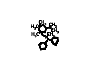 CN(C)C1CC(C)(C)CC(C)(CN(C)P(c2ccccc2)c2ccccc2)C1